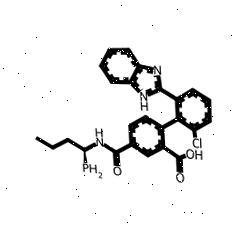 CCC[C@H](P)NC(=O)c1ccc(-c2c(Cl)cccc2-c2nc3ccccc3[nH]2)c(C(=O)O)c1